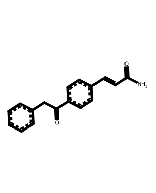 NC(=O)C=Cc1ccc(C(=O)Cc2ccccc2)cc1